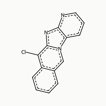 Clc1c2ccccc2cn2c1nc1ncccc12